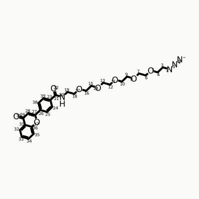 [N-]=[N+]=NCCOCCOCCOCCOCCOCCNC(=O)c1ccc(-c2cc(=O)c3ccccc3o2)cc1